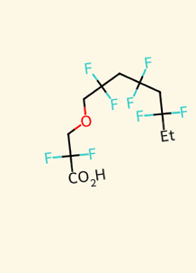 CCC(F)(F)CC(F)(F)CC(F)(F)COCC(F)(F)C(=O)O